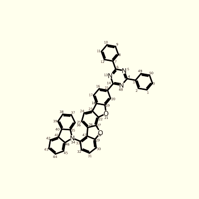 c1ccc(-c2nc(-c3ccccc3)nc(-c3ccc4c(c3)oc3c4ccc4c3oc3cccc(-n5c6ccccc6c6ccccc65)c34)n2)cc1